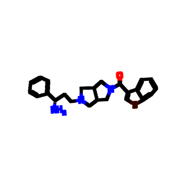 N[C@@H](CCN1CC2CN(C(=O)c3csc4ccccc34)CC2C1)c1ccccc1